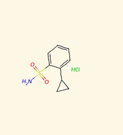 Cl.NS(=O)(=O)c1ccccc1C1CC1